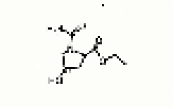 BC(=O)N1C[C@H](O)CC1C(=O)OCC